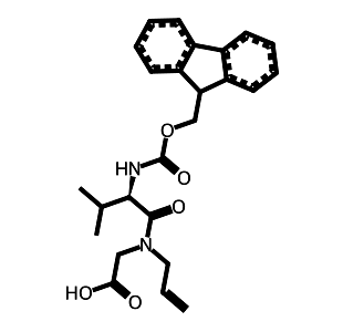 C=CCN(CC(=O)O)C(=O)[C@H](NC(=O)OCC1c2ccccc2-c2ccccc21)C(C)C